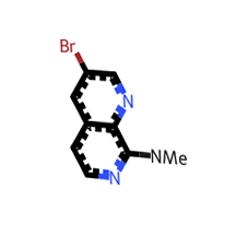 CNc1nccc2cc(Br)cnc12